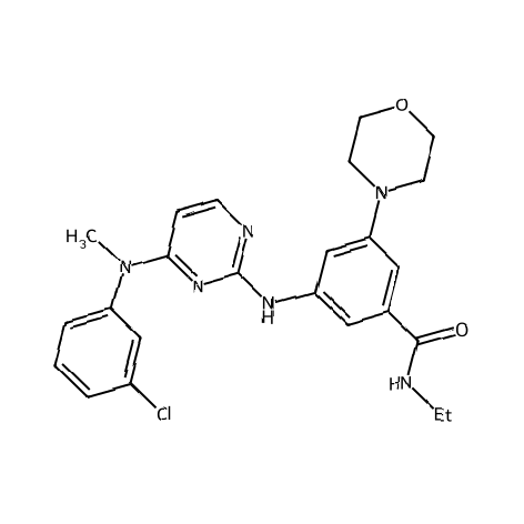 CCNC(=O)c1cc(Nc2nccc(N(C)c3cccc(Cl)c3)n2)cc(N2CCOCC2)c1